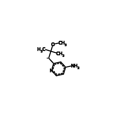 COC(C)(C)[CH]c1cc(N)ccn1